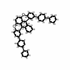 c1ccc(-c2ccc(-c3ccc4c(c3)-c3c5ccccc5c5c6c(ccc(c36)O4)Oc3ccc(-c4ccc(-c6ccccc6)cc4)cc3-5)cc2)cc1